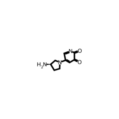 N[C@@H]1CCN(C2=CC(=O)C(=O)N=C2)C1